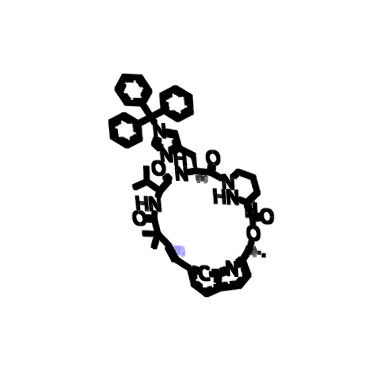 CC(C)C1NC(=O)C(C)(C)/C=C/c2ccc3ccc(nc3c2)[C@@H](C)OC(=O)[C@@H]2CCCN(N2)C(=O)[C@H](Cc2cn(C(c3ccccc3)(c3ccccc3)c3ccccc3)cn2)NC1=O